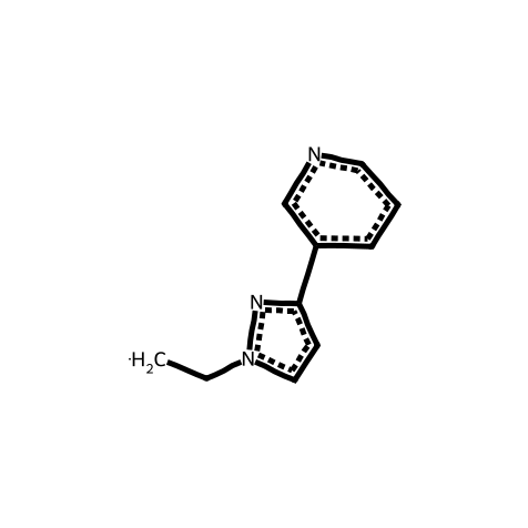 [CH2]Cn1ccc(-c2cccnc2)n1